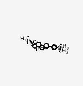 CC#CC1CC[C@H]2[C@@H]3CCC4=CC(c5ccc(N(C)C)cc5)CCC4=C3CC[C@]12C